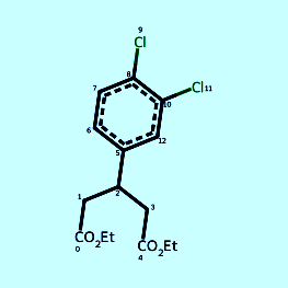 CCOC(=O)CC(CC(=O)OCC)c1ccc(Cl)c(Cl)c1